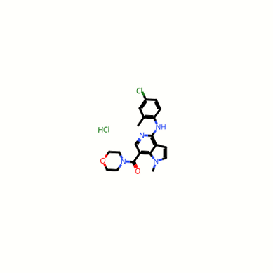 Cc1cc(Cl)ccc1Nc1ncc(C(=O)N2CCOCC2)c2c1ccn2C.Cl